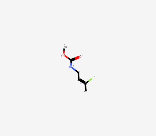 C/C(F)=C/CNC(=O)OC(C)(C)C